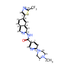 CN1CCN(c2ccc(C(=O)Nc3cc4cc(-c5cnc(C(F)(F)F)s5)ccc4cn3)cn2)CC1